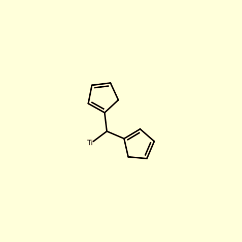 [Ti][CH](C1=CC=CC1)C1=CC=CC1